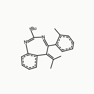 CC(C)=C1C(c2ccccc2C)=NC(C(C)(C)C)=Nc2ccccc21